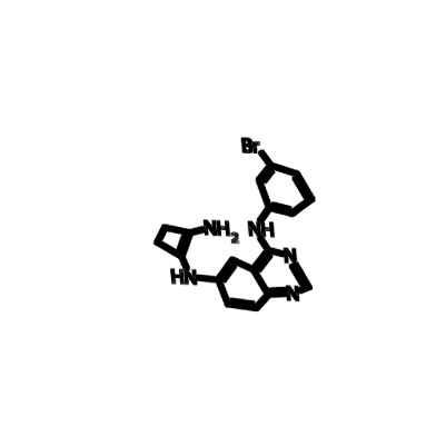 NC1=C(Nc2ccc3ncnc(Nc4cccc(Br)c4)c3c2)CC1